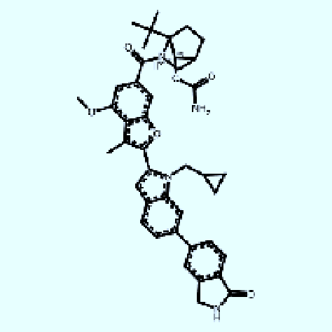 COc1cc(C(=O)N2CC3CCC2(C(C)(C)C)[C@@H]3OC(N)=O)cc2oc(-c3cc4ccc(-c5ccc6c(c5)CNC6=O)cc4n3CC3CC3)c(C)c12